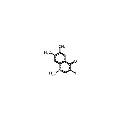 Cc1cc2c(=O)c(I)cn(C)c2cc1C